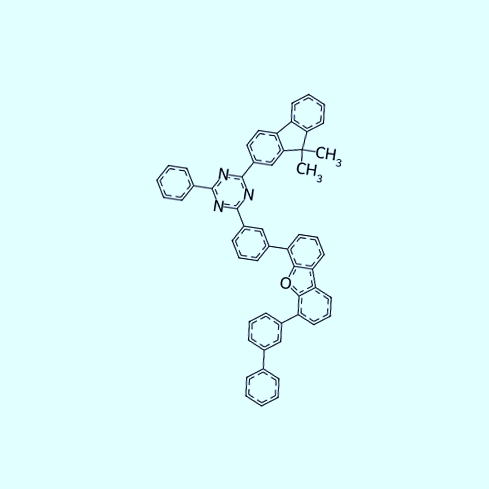 CC1(C)c2ccccc2-c2ccc(-c3nc(-c4ccccc4)nc(-c4cccc(-c5cccc6c5oc5c(-c7cccc(-c8ccccc8)c7)cccc56)c4)n3)cc21